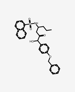 CCCC(CC(=O)C(O)c1ccc(OCc2ccccc2)cc1)NS(=O)(=O)c1cccc2ccccc12